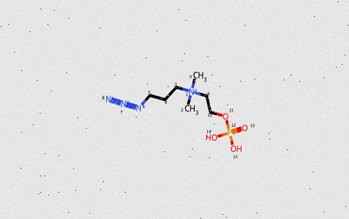 C[N+](C)(CCCN=[N+]=[N-])CCOP(=O)(O)O